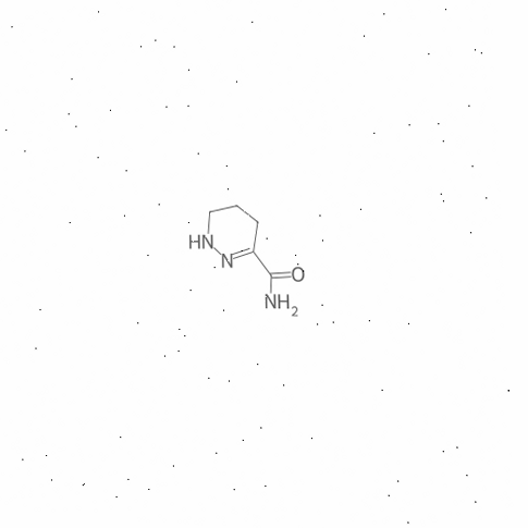 NC(=O)C1=NNCCC1